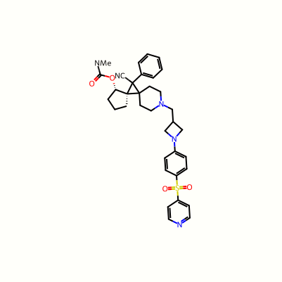 CNC(=O)O[C@H]1CCC[C@]12C1(CCN(CC3CN(c4ccc(S(=O)(=O)c5ccncc5)cc4)C3)CC1)C2(C#N)c1ccccc1